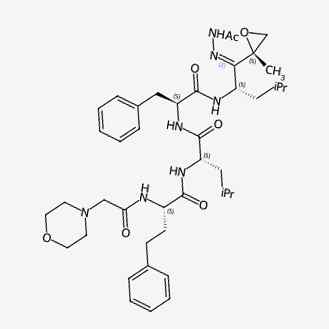 CC(=O)N/N=C(/[C@H](CC(C)C)NC(=O)[C@H](Cc1ccccc1)NC(=O)[C@H](CC(C)C)NC(=O)[C@H](CCc1ccccc1)NC(=O)CN1CCOCC1)[C@@]1(C)CO1